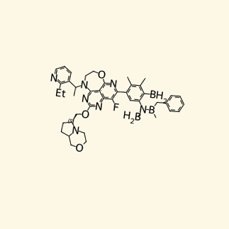 Bc1c(N(B)B(C)Cc2ccccc2)cc(-c2nc3c4c(nc(OC[C@@H]5CCC6COCCN65)nc4c2F)N(C(C)c2cccnc2CC)CCO3)c(C)c1C